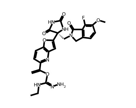 C=C(O/C(=N\N)NCC)c1ccc2oc([C@]3(CN4Cc5ccc(OC)c(F)c5C4=O)NC(=O)NC3=O)cc2n1